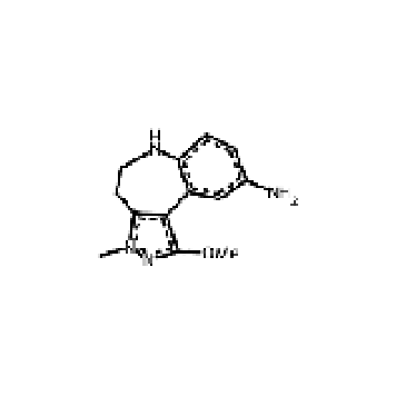 COc1nn(C)c2c1-c1cc(N)ccc1NCC2